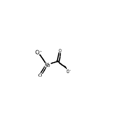 O=[C]([O-])[Nb](=[O])[O-]